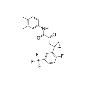 Cc1ccc(NC(=O)C(=O)CC2(c3cc(C(F)(F)F)ccc3F)CC2)cc1C